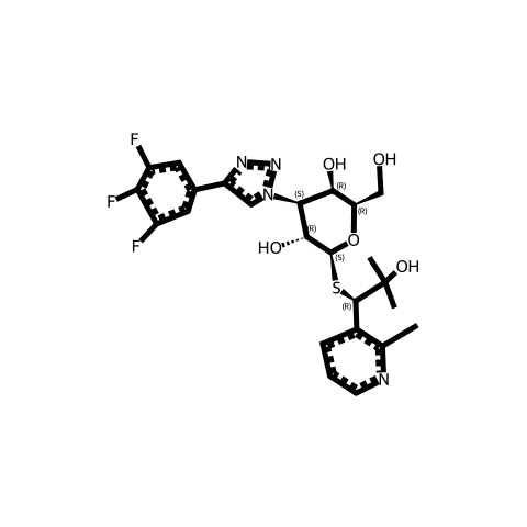 Cc1ncccc1[C@@H](S[C@@H]1O[C@H](CO)[C@H](O)[C@H](n2cc(-c3cc(F)c(F)c(F)c3)nn2)[C@H]1O)C(C)(C)O